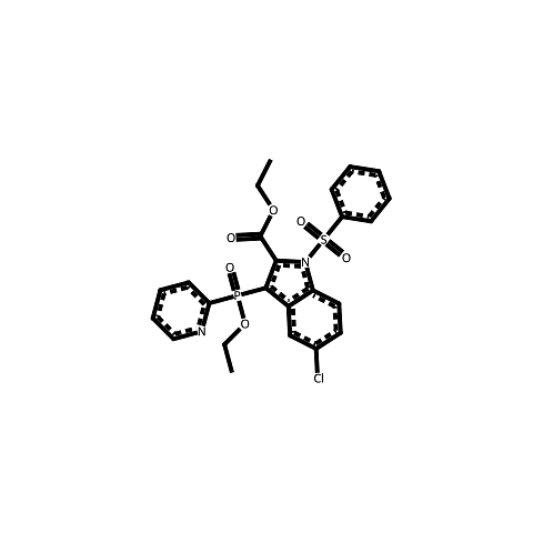 CCOC(=O)c1c(P(=O)(OCC)c2ccccn2)c2cc(Cl)ccc2n1S(=O)(=O)c1ccccc1